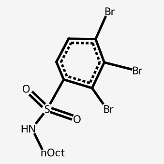 CCCCCCCCNS(=O)(=O)c1ccc(Br)c(Br)c1Br